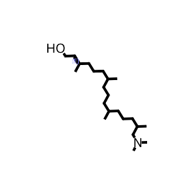 C/C(=C\CO)CCCC(C)CCCC(C)CCCC(C)CN(C)C